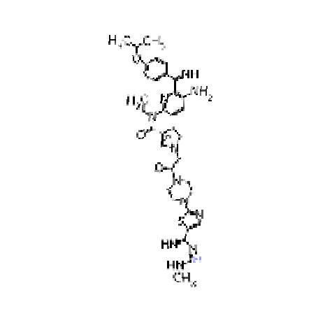 CCN(C(=O)[C@@H]1CCN(CC(=O)N2CCN(c3ncc(C(=N)/N=C\NC)s3)CC2)C1)c1ccc(N)c(C(=N)c2ccc(OC(C)C)nc2)n1